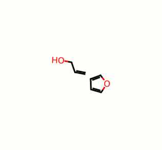 C=CCO.c1ccoc1